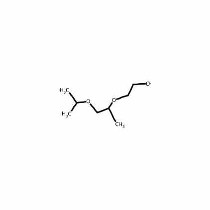 [CH2]C(C)OCC(C)OCC[O]